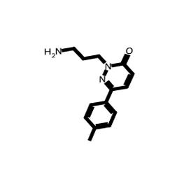 Cc1ccc(-c2ccc(=O)n(CCCN)n2)cc1